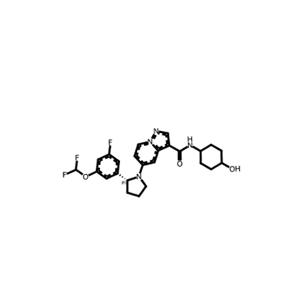 O=C(NC1CCC(O)CC1)c1cnn2ccc(N3CCC[C@@H]3c3cc(F)cc(OC(F)F)c3)cc12